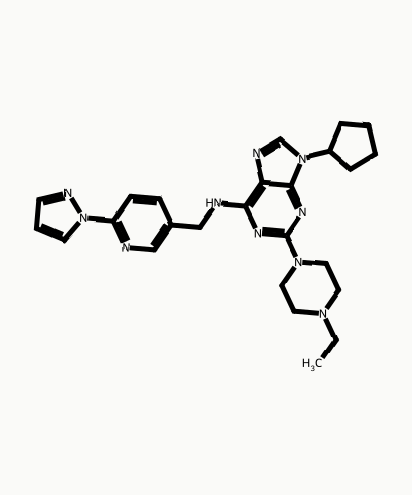 CCN1CCN(c2nc(NCc3ccc(-n4cccn4)nc3)c3ncn(C4CCCC4)c3n2)CC1